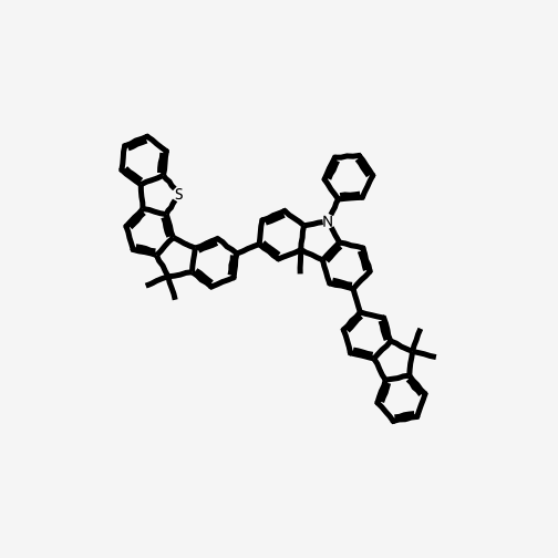 CC1(C)c2ccccc2-c2ccc(-c3ccc4c(c3)C3(C)C=C(c5ccc6c(c5)-c5c(ccc7c5sc5ccccc57)C6(C)C)C=CC3N4c3ccccc3)cc21